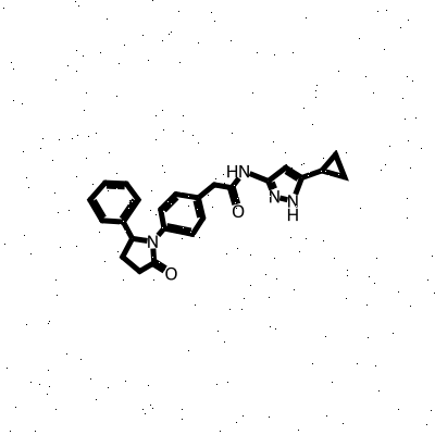 O=C(Cc1ccc(N2C(=O)CCC2c2ccccc2)cc1)Nc1cc(C2CC2)[nH]n1